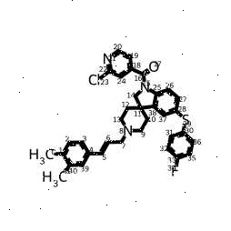 Cc1ccc(C=CCN2CCC3(CC2)CN(C(=O)c2ccnc(Cl)c2)c2ccc(Sc4ccc(F)cc4)cc23)cc1C